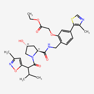 CCOC(=O)COc1cc(-c2scnc2C)ccc1CNC(=O)[C@@H]1C[C@@H](O)CN1C(=O)C(c1cc(C)no1)C(C)C